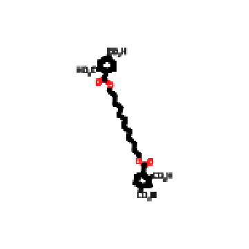 O=C(O)c1ccc(C(=O)OCCCCCCCCCCCCOC(=O)c2ccc(C(=O)O)cc2C(=O)O)c(C(=O)O)c1